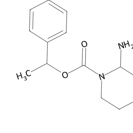 CC(OC(=O)N1CCCCC1N)c1ccccc1